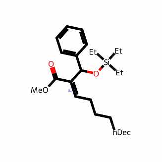 CCCCCCCCCCCCC/C=C(/C(=O)OC)C(O[Si](CC)(CC)CC)c1ccccc1